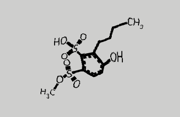 CCCCc1c(O)ccc(S(=O)(=O)OC)c1S(=O)(=O)O